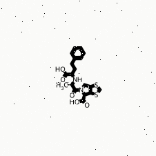 C[C@H](NC(CCc1ccccc1)C(=O)O)C(=O)N1CC2SCSC2C1C(=O)O